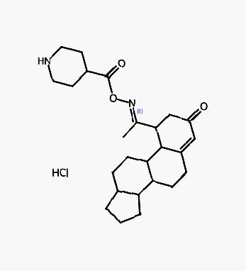 C/C(=N\OC(=O)C1CCNCC1)C1CC(=O)C=C2CCC3C4CCCC4CCC3C21.Cl